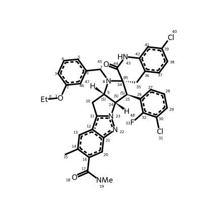 CCOc1cccc(CN2[C@H]3Cc4c5cc(C)c(C(=O)NC)cc5nn4[C@H]3[C@H](c3cccc(Cl)c3F)[C@@]23Cc2ccc(Cl)cc2NC3=O)c1